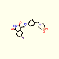 O=C1NC(=O)c2ccc(I)cc2C1=CNc1ccc(CN2CCS(=O)(=O)CC2)cc1